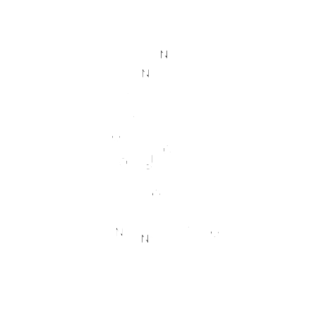 CC(=[N+]=[N-])C(=O)C(C)O[PH](=O)OC(C)C(=O)C(C)=[N+]=[N-]